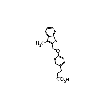 Cc1c(COc2ccc(CCC(=O)O)cc2)sc2ccccc12